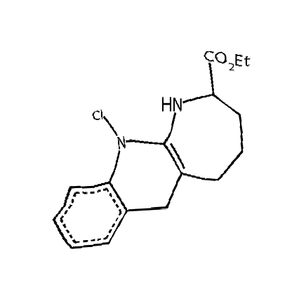 CCOC(=O)C1CCCC2=C(N1)N(Cl)c1ccccc1C2